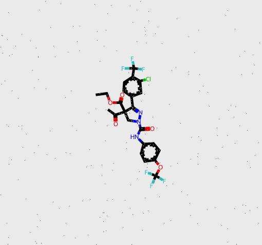 CCOC(=O)C1(C(C)=O)CN(C(=O)Nc2ccc(OC(F)(F)F)cc2)N=C1c1ccc(C(F)(F)F)c(Cl)c1